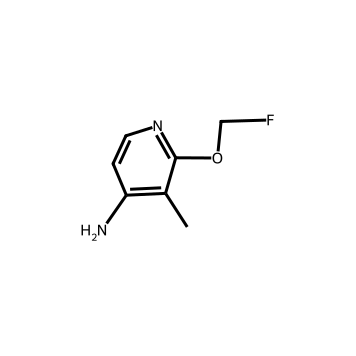 Cc1c(N)ccnc1OCF